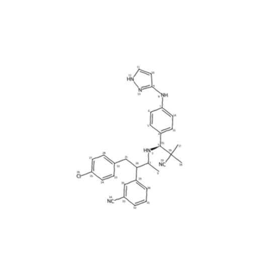 CC(N[C@@H](c1ccc(Nc2cc[nH]n2)cc1)C(C)(C)C#N)C(Cc1ccc(Cl)cc1)c1cccc(C#N)c1